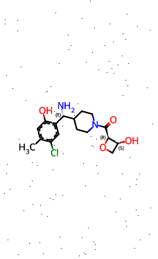 Cc1cc(O)c([C@H](N)C2CCN(C(=O)[C@@H]3OC[C@@H]3O)CC2)cc1Cl